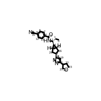 CC[C@@H](NC(=O)c1ccc(C#N)cc1)[C@H]1[C@@H]2C[C@@H](n3cc(C4CCOC4)nn3)C[C@@H]21